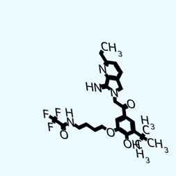 CCc1ccc2c(n1)C(=N)N(CC(=O)c1cc(OCCCCNC(=O)C(F)(F)F)c(O)c(C(C)(C)C)c1)C2